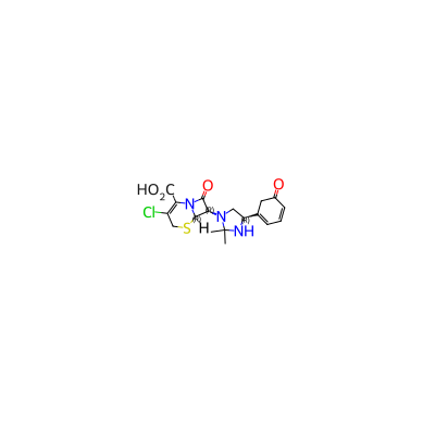 CC1(C)N[C@H](C2=CC=CC(=O)C2)CN1[C@@H]1C(=O)N2C(C(=O)O)=C(Cl)CS[C@H]12